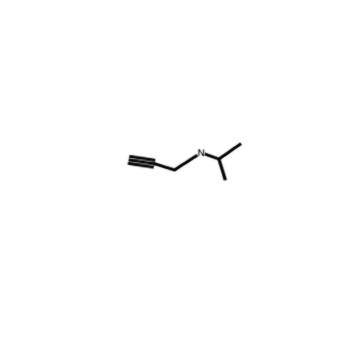 C#CC[N]C(C)C